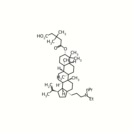 C=C(C)[C@@H]1CC[C@]2(CCCN(CC)CCC)CC[C@]3(C)[C@H](CC[C@@H]4[C@@]5(C)CC[C@H](OC(=O)CC(C)(C)CC(=O)O)C(C)(C)[C@@H]5CC[C@]43C)[C@@H]12